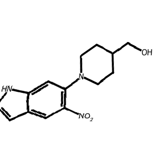 O=[N+]([O-])c1cc2cn[nH]c2cc1N1CCC(CO)CC1